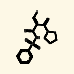 C=C(/C(=C\I)C(=O)NS(=O)(=O)c1ccccc1)N1CCCC1